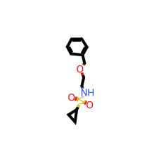 O=S(=O)(NCCOCc1ccccc1)C1CC1